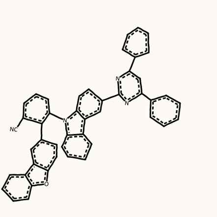 N#Cc1cccc(-n2c3ccccc3c3cc(-c4nc(-c5ccccc5)cc(-c5ccccc5)n4)ccc32)c1-c1ccc2oc3ccccc3c2c1